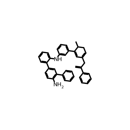 C=C(CC1=CCC(C)C(c2cccc(Nc3ccccc3-c3ccc(N)c(-c4ccccc4)c3)c2)=C1)c1ccccc1